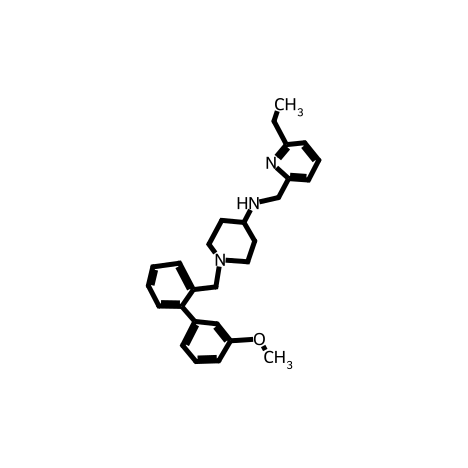 CCc1cccc(CNC2CCN(Cc3ccccc3-c3cccc(OC)c3)CC2)n1